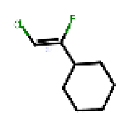 F/C(=C\Cl)C1CCCCC1